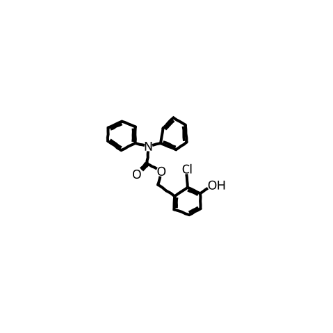 O=C(OCc1cccc(O)c1Cl)N(c1ccccc1)c1ccccc1